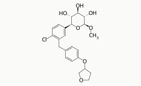 CO[C@H]1O[C@@H](c2ccc(Cl)c(Cc3ccc(OC4CCOC4)cc3)c2)[C@H](O)[C@@H](O)[C@@H]1O